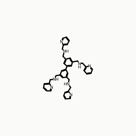 c1ccc(CNCc2cc(CNCc3ccccn3)cc(-c3cc(CNCc4ccccn4)cc(CNCc4ccccn4)c3)c2)nc1